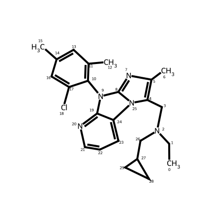 CCN(Cc1c(C)nc2n(-c3c(C)cc(C)cc3Cl)c3ncccc3n12)CC1CC1